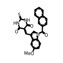 COc1ccc2c(c1)c(C=C1C(=O)NC(=S)NC1=O)cn2C(=O)c1ccc2ccccc2c1